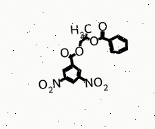 C[C@H](COC(=O)c1cc([N+](=O)[O-])cc([N+](=O)[O-])c1)OC(=O)c1ccccc1